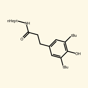 CCCCCCCNC(=O)CCc1cc(C(C)(C)C)c(O)c(C(C)(C)C)c1